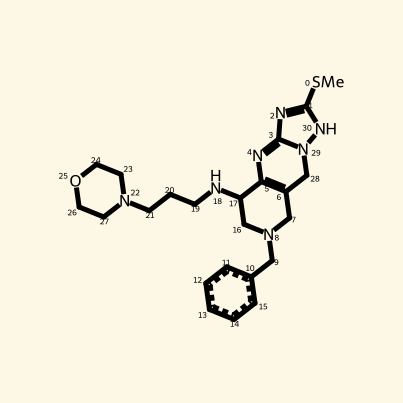 CSC1=NC2=NC3=C(CN(Cc4ccccc4)CC3NCCCN3CCOCC3)CN2N1